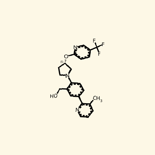 Cc1cccnc1-c1ccc(N2CC[C@H](Oc3ccc(C(F)(F)F)cn3)C2)c(CO)c1